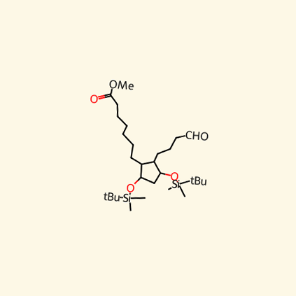 COC(=O)CCCCCCC1C(O[Si](C)(C)C(C)(C)C)CC(O[Si](C)(C)C(C)(C)C)C1CCCC=O